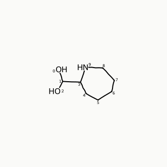 OC(O)C1CCCCCN1